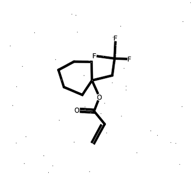 C=CC(=O)OC1(CC(F)(F)F)CCCCC1